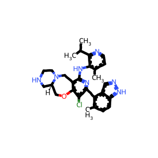 Cc1ccnc(C(C)C)c1Nc1nc(-c2c(C)ccc3[nH]ncc23)c(Cl)c2c1CN1CCNC[C@@H]1CO2